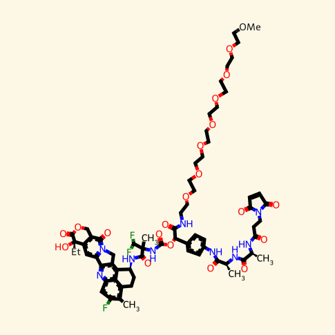 CC[C@@]1(O)C(=O)OCc2c1cc1n(c2=O)Cc2c-1nc1cc(F)c(C)c3c1c2[C@@H](NC(=O)C(C)(NC(=O)OC(C(=O)NCCOCCOCCOCCOCCOCCOCCOCCOC)c1ccc(NC(=O)[C@H](C)NC(=O)[C@H](C)NC(=O)CCN2C(=O)C=CC2=O)cc1)C(F)F)CC3